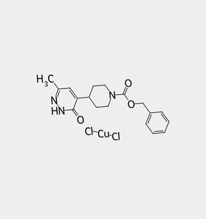 Cc1cc(C2CCN(C(=O)OCc3ccccc3)CC2)c(=O)[nH]n1.[Cl][Cu][Cl]